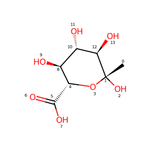 C[C@@]1(O)O[C@H](C(=O)O)[C@@H](O)[C@H](O)[C@H]1O